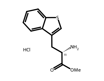 COC(=O)[C@@H](N)Cc1csc2ccccc12.Cl